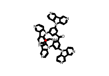 N/C=C\c1c(F)c2cnccc2n1-c1cc(C(=O)c2cc(-n3c4ccncc4c4cnccc43)cc(-n3c4ccncc4c4cnccc43)c2)cc(-n2c3ccncc3c3cnccc32)c1